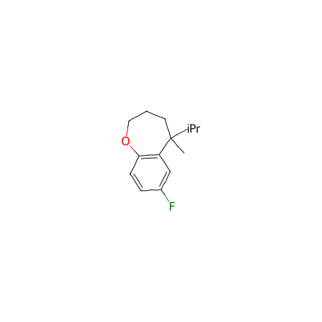 CC(C)C1(C)CCCOc2ccc(F)cc21